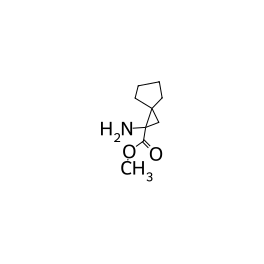 COC(=O)C1(N)CC12CCCC2